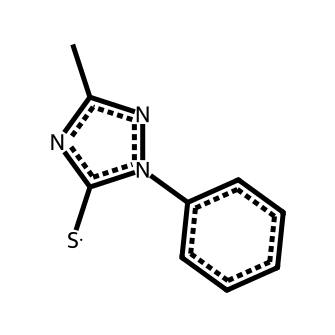 Cc1nc([S])n(-c2ccccc2)n1